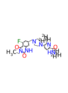 [2H]C([2H])([2H])NC(=O)c1ccc(N2CCN(Cc3cc(F)c4c(=O)n(CC)c(=O)[nH]c4c3)CC2)c(C([2H])([2H])[2H])n1